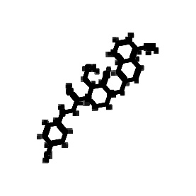 CC[C@H]1C(=O)N(Cc2ccc3c(N)ncnc3c2)CCN1C(=O)CSc1ccc(Cl)cc1